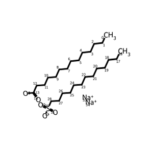 CCCCCCCCCCCCCC(=O)[O-].CCCCCCCCCCCCCS(=O)(=O)[O-].[Na+].[Na+]